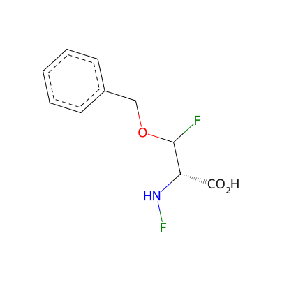 O=C(O)[C@H](NF)C(F)OCc1ccccc1